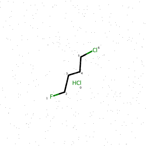 Cl.FCCCCCl